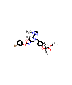 CCOC(=O)C(C)(C)Oc1ccc(CN(Cc2nc(Oc3cccc(Br)c3)oc2C)Cc2nccn2C)cc1